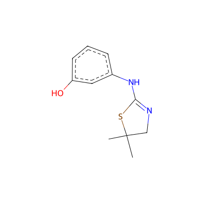 CC1(C)CN=C(Nc2cccc(O)c2)S1